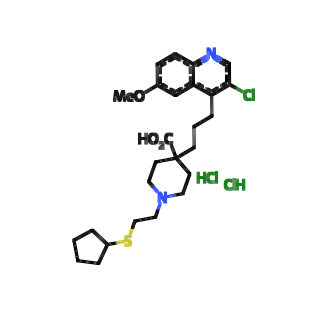 COc1ccc2ncc(Cl)c(CCCC3(C(=O)O)CCN(CCSC4CCCC4)CC3)c2c1.Cl.Cl